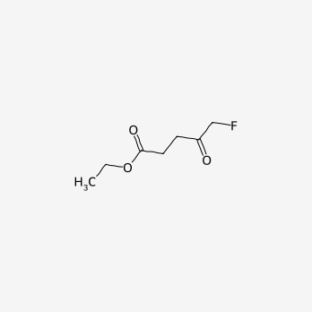 CCOC(=O)CCC(=O)CF